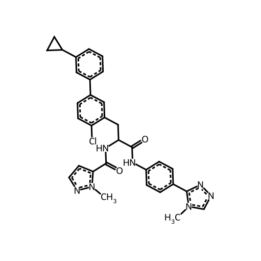 Cn1cnnc1-c1ccc(NC(=O)C(Cc2cc(-c3cccc(C4CC4)c3)ccc2Cl)NC(=O)c2ccnn2C)cc1